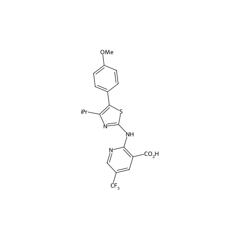 COc1ccc(-c2sc(Nc3ncc(C(F)(F)F)cc3C(=O)O)nc2C(C)C)cc1